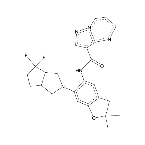 CC1(C)Cc2cc(NC(=O)c3cnn4cccnc34)c(N3CC4CCC(F)(F)C4C3)cc2O1